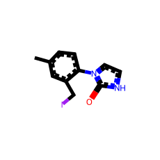 Cc1ccc(-n2cc[nH]c2=O)c(CI)c1